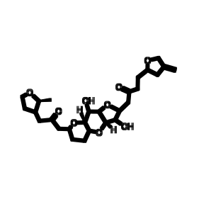 C=C1COC(CCC(=O)CC2OC3C(O)[C@H]4OC(CC(=O)CC5CCO[C@H]5C)CCC4O[C@H]3C2O)C1